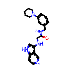 O=C(CNc1c[nH]c2ccncc12)NCc1cccc(N2CCCCC2)c1